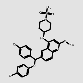 CC(C)(C)Oc1cc(NC2CCN(S(=O)(=O)C(F)(F)F)CC2)c2cc(C(Oc3ccc(Cl)cc3)c3ccc(Cl)cc3)ccc2n1